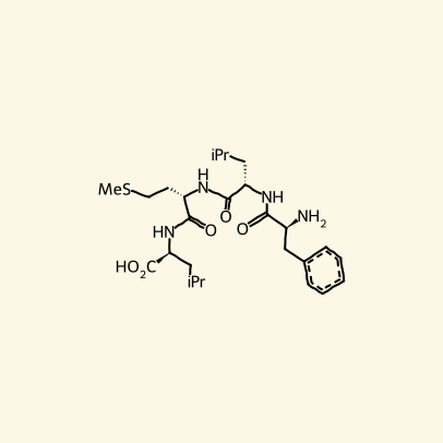 CSCC[C@H](NC(=O)[C@H](CC(C)C)NC(=O)[C@@H](N)Cc1ccccc1)C(=O)N[C@@H](CC(C)C)C(=O)O